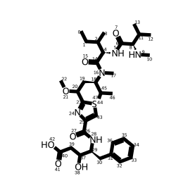 CCC(C)[C@H](NC(=O)[C@@H](NC)C(C)C)C(=O)N(C)[C@H](CC(OC)c1nc(C(=O)N[C@@H](Cc2ccccc2)C(O)CC(=O)O)cs1)C(C)C